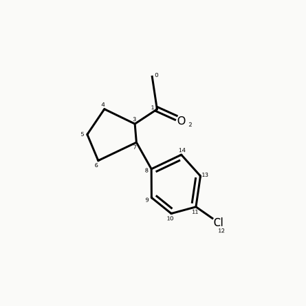 CC(=O)C1CCCC1c1ccc(Cl)cc1